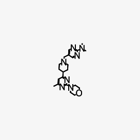 Cc1cc(C2CCN(Cc3cnc(N(C)C)nc3)CC2)nc(N2CCOCC2)n1